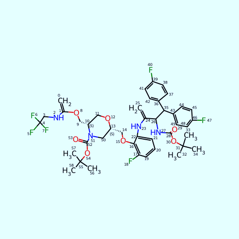 C=C(NCC(F)(F)F)OC[C@@H]1CO[C@H](COc2c(F)cccc2NC(=C)C(NC(=O)OC(C)(C)C)C(c2ccc(F)cc2)c2ccc(F)cc2)CN1C(=O)OC(C)(C)C